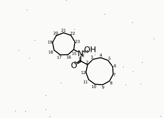 O=C(C1CCCCCCCCCC1)N(O)C1CCCCCCCC1